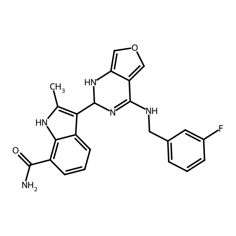 Cc1[nH]c2c(C(N)=O)cccc2c1C1N=C(NCc2cccc(F)c2)c2cocc2N1